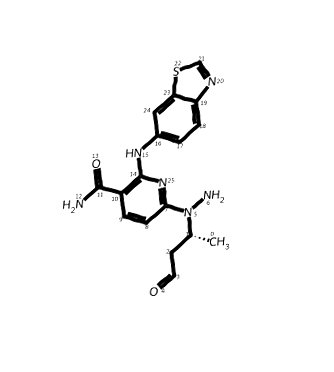 C[C@H](CC=O)N(N)c1ccc(C(N)=O)c(Nc2ccc3ncsc3c2)n1